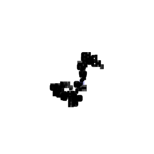 COc1cc(Cl)c(C)cc1NCC(=O)N1CCN(C/C=C/C(=O)NCCNc2c(NC[C@@H]3CC[C@H](n4cnc5c(=O)[nH]c(N)nc54)O3)c(=O)c2=O)CC1